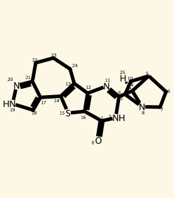 O=c1[nH]c([C@H]2C3CCN2CC3)nc2c3c(sc12)-c1c[nH]nc1CCC3